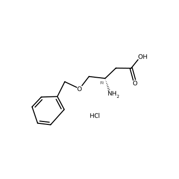 Cl.N[C@H](COCc1ccccc1)CC(=O)O